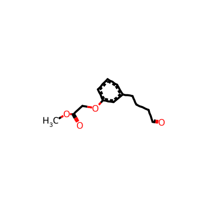 COC(=O)COc1cccc(CCCC=O)c1